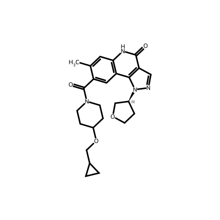 Cc1cc2[nH]c(=O)c3cnn([C@H]4CCOC4)c3c2cc1C(=O)N1CCC(OCC2CC2)CC1